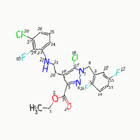 CCOC(=O)c1nn(Cc2cc(F)ccc2F)c(Cl)c1CCNc1cccc(Cl)c1F